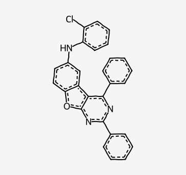 Clc1ccccc1Nc1ccc2oc3nc(-c4ccccc4)nc(-c4ccccc4)c3c2c1